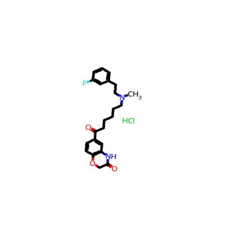 CN(CCCCCC(=O)c1ccc2c(c1)NC(=O)CO2)CCc1cccc(F)c1.Cl